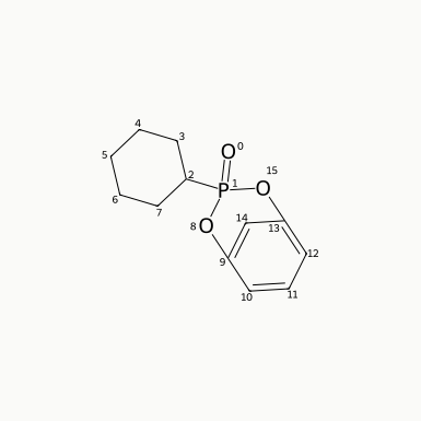 O=P1(C2CCCCC2)Oc2cccc(c2)O1